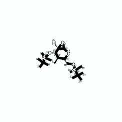 C[C@H]1[C@H](O[Si](C)(C)C(C)(C)C)[C@H]2OC2O[C@@H]1CO[Si](C)(C)C(C)(C)C